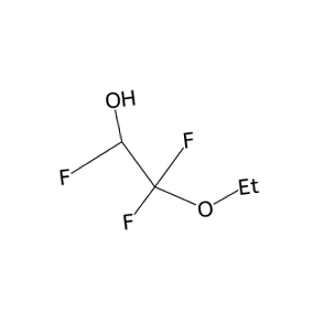 CCOC(F)(F)C(O)F